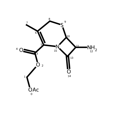 CC(=O)OCOC(=O)C1=C(C)CSC2C(N)C(=O)N12